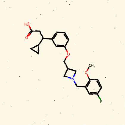 COc1ccc(F)cc1CN1CC(COc2cccc(C(CC(=O)O)C3CC3)c2)C1